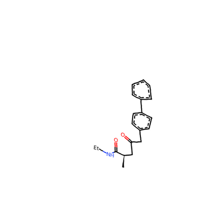 CCNC(=O)[C@H](C)CC(=O)Cc1ccc(-c2ccccc2)cc1